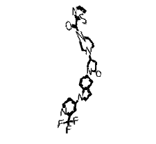 O=C(c1nccs1)N1CCN(C2CC(=O)N(c3ccc4c(ccn4-c4ccnc(C(F)(F)F)c4)c3)C2)CC1